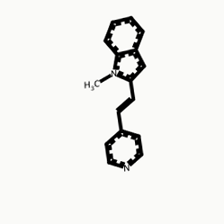 Cn1c(/C=C/c2ccncc2)cc2ccccc21